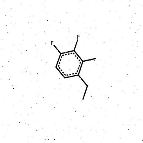 [CH]Cc1ccc(F)c(F)c1C